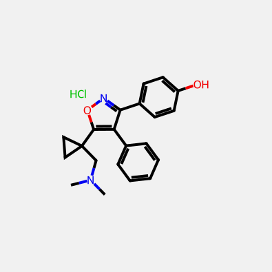 CN(C)CC1(c2onc(-c3ccc(O)cc3)c2-c2ccccc2)CC1.Cl